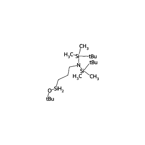 CC(C)(C)O[SiH2]CCCN([Si](C)(C)C(C)(C)C)[Si](C)(C)C(C)(C)C